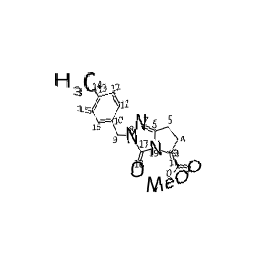 COC(=O)[C@@H]1CCc2nn(Cc3ccc(C)cc3)c(=O)n21